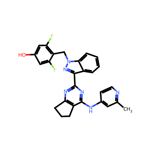 Cc1cc(Nc2nc(-c3nn(Cc4c(F)cc(O)cc4F)c4ccccc34)nc3c2CCC3)ccn1